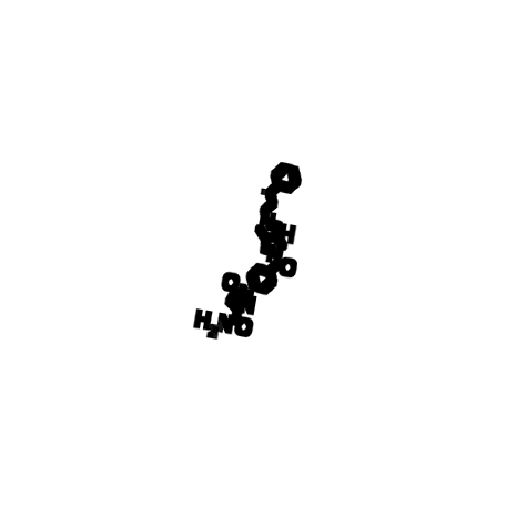 NC(=O)C1=NN(c2ccc(C(=O)N3CC4CN(CC[CH]c5ccccc5)C[C@H]4C3)cc2)C(=O)C1